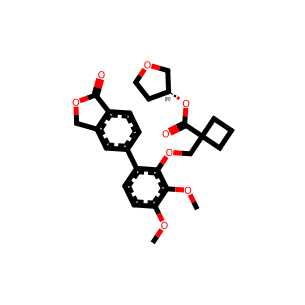 COc1ccc(-c2ccc3c(c2)COC3=O)c(OCC2(C(=O)O[C@@H]3CCOC3)CCC2)c1OC